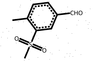 Cc1ccc(C=O)cc1S(C)(=O)=O